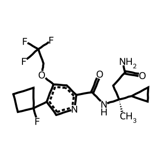 C[C@@](CC(N)=O)(NC(=O)c1cc(OCC(F)(F)F)c(C2(F)CCC2)cn1)C1CC1